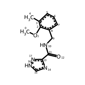 COc1c(C)cccc1CNC(=O)c1nc[nH]n1